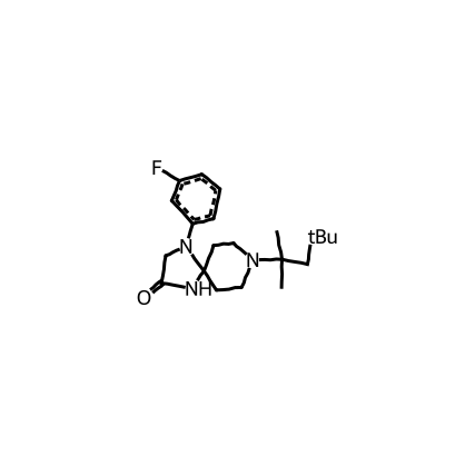 CC(C)(C)CC(C)(C)N1CCC2(CC1)NC(=O)CN2c1cccc(F)c1